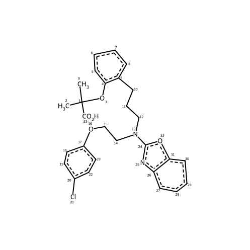 CC(C)(Oc1ccccc1CCCN(CCOc1ccc(Cl)cc1)c1nc2ccccc2o1)C(=O)O